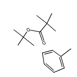 CC(C)(C)OC(=O)C(C)(C)C.Cc1ccccc1